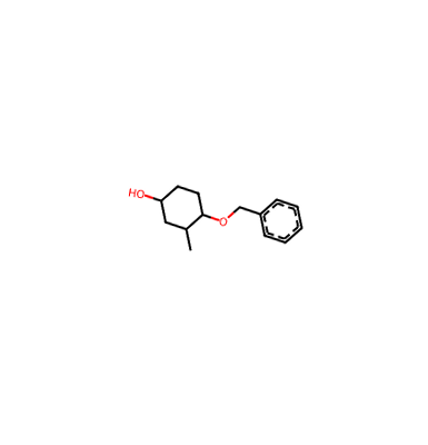 CC1CC(O)CCC1OCc1ccccc1